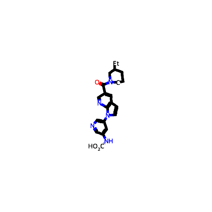 CCC1CCCN(C(=O)c2cnc3c(ccn3-c3cncc(NC(=O)O)c3)c2)C1